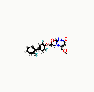 COCc1cc(=O)nc2n1C[C@@H](COc1c(F)cc(-c3ccccc3F)cc1F)O2